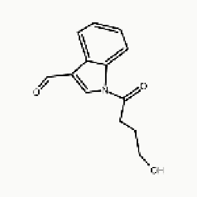 O=Cc1cn(C(=O)CCCO)c2ccccc12